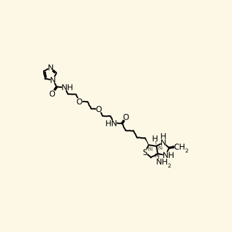 C=C1N[C@@H]2[C@H](CCCCC(=O)NCCOCCOCCNC(=O)n3ccnc3)SC[C@]2(N)N1